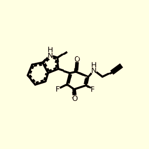 C#CCNC1=C(F)C(=O)C(F)=C(c2c(C)[nH]c3ccccc23)C1=O